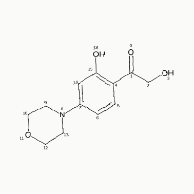 O=C(CO)c1ccc(N2CCOCC2)cc1O